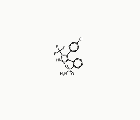 NS(=O)(=O)c1ccccc1-c1n[nH]c(C(F)(F)F)c1-c1ccc(Cl)cc1